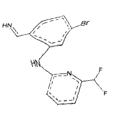 N=Cc1ccc(Br)cc1Nc1cccc(C(F)F)n1